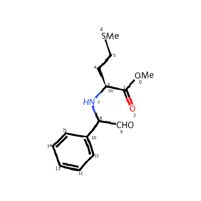 COC(=O)[C@H](CCSC)NC(C=O)c1ccccc1